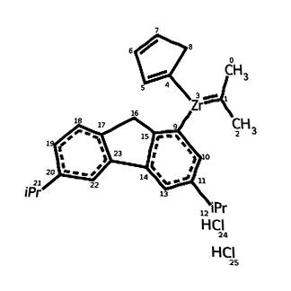 C[C](C)=[Zr]([C]1=CC=CC1)[c]1cc(C(C)C)cc2c1Cc1ccc(C(C)C)cc1-2.Cl.Cl